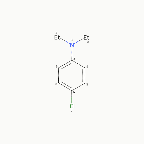 CCN(CC)c1c[c]c(Cl)cc1